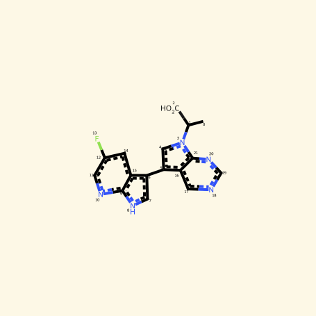 CC(C(=O)O)n1cc(-c2c[nH]c3ncc(F)cc23)c2cncnc21